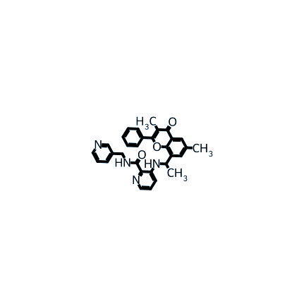 Cc1cc(C(C)Nc2cccnc2C(=O)NCc2cccnc2)c2oc(-c3ccccc3)c(C)c(=O)c2c1